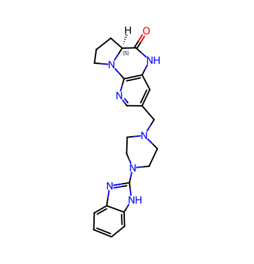 O=C1Nc2cc(CN3CCN(c4nc5ccccc5[nH]4)CC3)cnc2N2CCC[C@@H]12